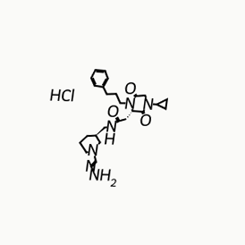 Cl.NN=CN1CCC[C@@H](CNC(=O)C[C@H]2C(=O)N(C3CC3)CC(=O)N2CCCc2ccccc2)C1